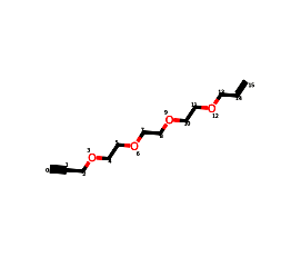 C#CCOCCOCCOCCOCC=C